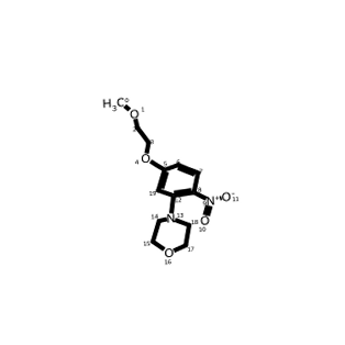 COCCOc1ccc([N+](=O)[O-])c(N2CCOCC2)c1